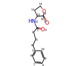 O=C(CCCc1ccccc1)NC1CCOC1=O